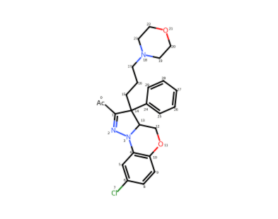 CC(=O)C1=NN2c3cc(Cl)ccc3OCC2C1(CCCN1CCOCC1)c1ccccc1